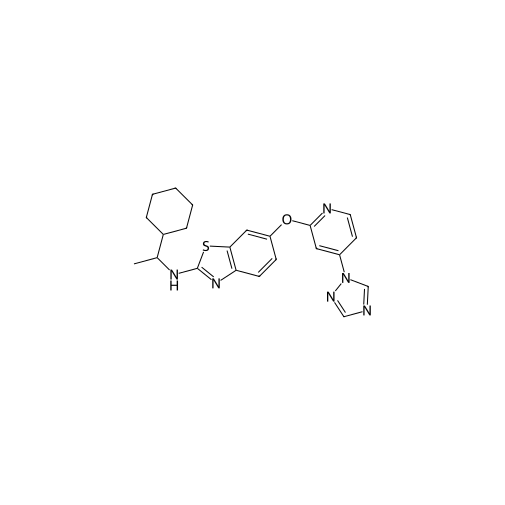 CC(Nc1nc2ccc(Oc3cc(-n4cncn4)ccn3)cc2s1)C1CCCCC1